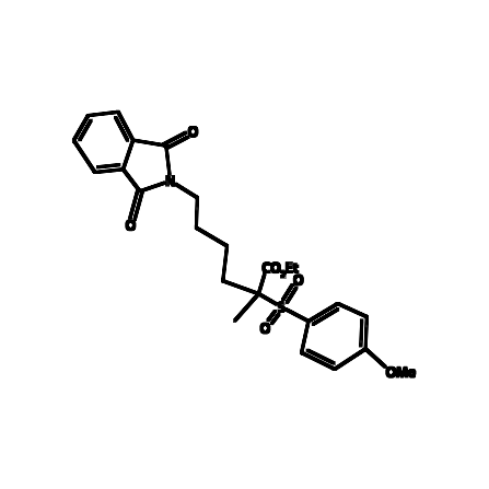 CCOC(=O)C(C)(CCCCN1C(=O)c2ccccc2C1=O)S(=O)(=O)c1ccc(OC)cc1